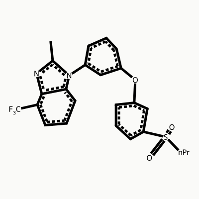 CCCS(=O)(=O)c1cccc(Oc2cccc(-n3c(C)nc4c(C(F)(F)F)cccc43)c2)c1